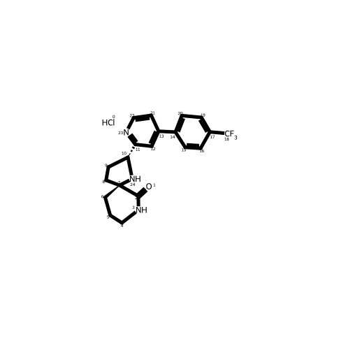 Cl.O=C1NCCC[C@]12CC[C@H](c1cc(-c3ccc(C(F)(F)F)cc3)ccn1)N2